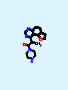 C=C(C(=O)N1CCNCC1)c1ncnc2ccc3ccoc3c12